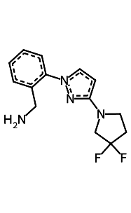 NCc1ccccc1-n1ccc(N2CCC(F)(F)C2)n1